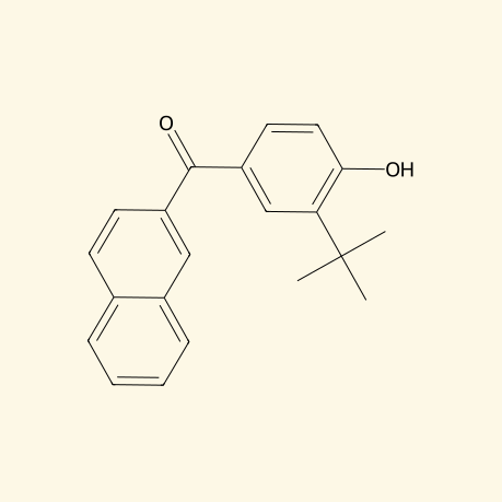 CC(C)(C)c1cc(C(=O)c2ccc3ccccc3c2)ccc1O